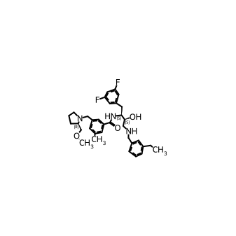 CCc1cccc(CNC[C@H](O)[C@H](Cc2cc(F)cc(F)c2)NC(=O)c2cc(C)cc(CN3CCC[C@@H]3COC)c2)c1